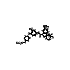 CCOC(=O)C[C@H]1CC[C@H](Oc2ccc(CNCCC3(c4ccc(OC)cc4)CCOC(C)(C)C3)cc2Cl)CC1